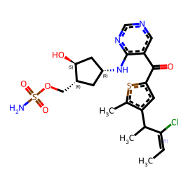 C/C=C(/Cl)C(C)c1cc(C(=O)c2cncnc2N[C@@H]2C[C@H](COS(N)(=O)=O)[C@@H](O)C2)sc1C